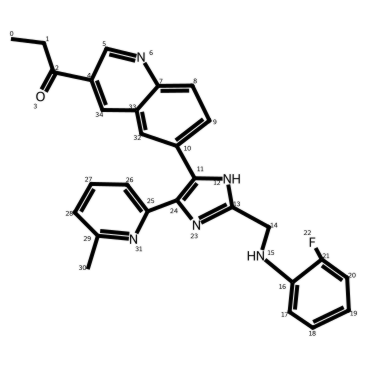 CCC(=O)c1cnc2ccc(-c3[nH]c(CNc4ccccc4F)nc3-c3cccc(C)n3)cc2c1